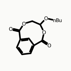 CCCCOC1COC(=O)c2cccc(c2)C(=O)O1